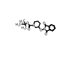 CC(C)(C)OC(=O)N1CCCC(ON2C(=O)c3ccccc3C2=O)C1